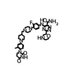 Cc1cc(N2CCC(CN3CCN(c4ccc(Nc5nc(C6CNCCO6)nnc5C(N)=O)cc4F)CC3)CC2)ccc1N1CCC(=O)NC1=O